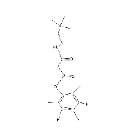 Cc1c(F)c(F)c(OC(=O)CC(=O)NCCC(C)(C)C)c(F)c1F